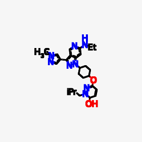 CCNc1cc2c(cn1)c(-c1cnn(C)c1)nn2C1CCC(OC2=NN(CC(C)C)C(O)C=C2)CC1